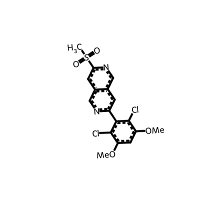 COc1cc(OC)c(Cl)c(-c2cc3cnc(S(C)(=O)=O)cc3cn2)c1Cl